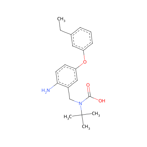 CCc1cccc(Oc2ccc(N)c(CN(C(=O)O)C(C)(C)C)c2)c1